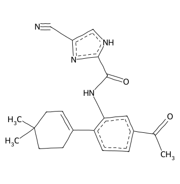 CC(=O)c1ccc(C2=CCC(C)(C)CC2)c(NC(=O)c2nc(C#N)c[nH]2)c1